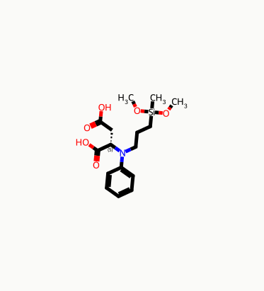 CO[Si](C)(CCCN(c1ccccc1)[C@@H](CC(=O)O)C(=O)O)OC